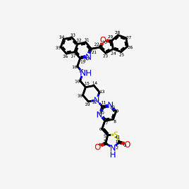 O=C1NC(=O)/C(=C/c2ccnc(N3CCC(CNCc4nc(-c5cc6ccccc6o5)cc5ccccc45)CC3)n2)S1